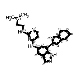 CN(C)CCNc1nccc(Nc2cc(-c3cc4ccccc4s3)c3[nH]ncc3c2)n1